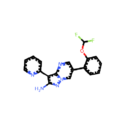 Nc1nn2cc(-c3ccccc3OC(F)F)cnc2c1-c1ccccn1